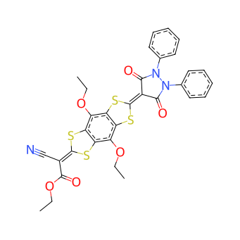 CCOC(=O)C(C#N)=C1Sc2c(OCC)c3c(c(OCC)c2S1)SC(=C1C(=O)N(c2ccccc2)N(c2ccccc2)C1=O)S3